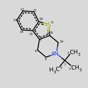 CC(C)(C)N1CCc2c(sc3ccccc23)C1